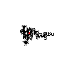 CC(C)(C)OC(=O)COC(=O)N1CC(Oc2cnc(-c3c(-c4nn(C56CC(C5)C6)c5ncnc(N)c45)noc3C3CC3)nc2)C1